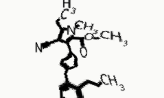 CCCc1ccccc1-c1ccc(-c2c(C#N)c(CC)n(C)c2C(=O)OCC)cc1